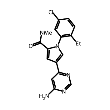 CCc1ccc(Cl)cc1-n1cc(-c2cc(N)ncn2)cc1C(=O)NC